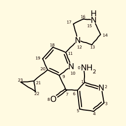 Nc1ncccc1C(=O)c1nc(N2CCNCC2)ccc1C1CC1